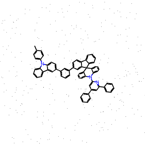 Cc1ccc(-n2c3ccccc3c3cc(-c4cccc(-c5ccc6c(c5)C5(c7ccccc7-6)c6ccccc6N(c6cc(-c7ccccc7)cc(-c7ccccc7)n6)c6ccccc65)c4)ccc32)cc1